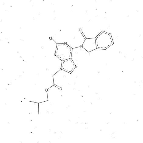 CC(C)COC(=O)Cn1cnc2c(N3Cc4ccccc4C3=O)nc(Cl)nc21